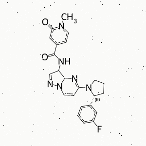 Cn1ccc(C(=O)NC2C=NN3C=CC(N4CCC[C@@H]4c4cccc(F)c4)=NC23)cc1=O